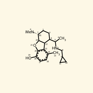 CN[C@@H]1CCC(C(C)NCC2CC2)C2c3c(C)ccc(O)c3OC21